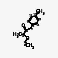 CCOC(C)C(=O)Cc1ccc(C)cc1